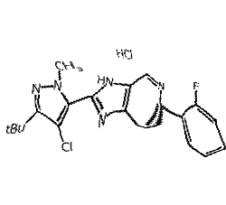 Cl.Cn1nc(C(C)(C)C)c(Cl)c1-c1nc2cc(-c3ccccc3F)ncc2[nH]1